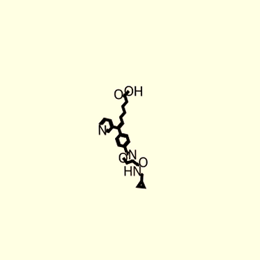 O=C(O)CCCCC=C(c1ccc(C2=NC(C(=O)NCC3CC3)CO2)cc1)c1cccnc1